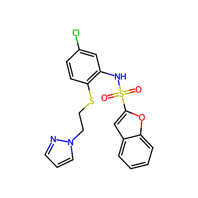 O=S(=O)(Nc1cc(Cl)ccc1SCCn1cccn1)c1cc2ccccc2o1